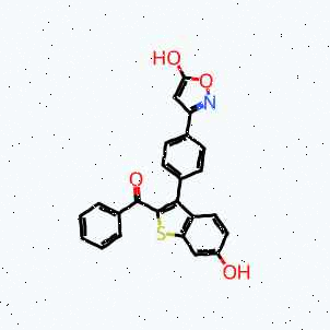 O=C(c1ccccc1)c1sc2cc(O)ccc2c1-c1ccc(-c2cc(O)on2)cc1